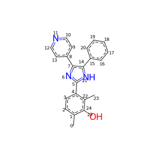 Cc1ccc(-c2nc(-c3ccncc3)c(-c3ccccc3)[nH]2)c(C)c1O